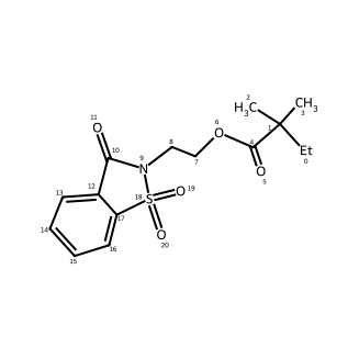 CCC(C)(C)C(=O)OCCN1C(=O)c2ccccc2S1(=O)=O